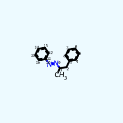 C[C](Cc1ccccc1)/N=N/c1ccccc1